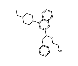 CCN1CCN(c2nc(C(Cc3ccccc3)OCCO)cc3ccccc23)CC1